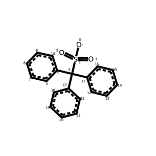 [O]S(=O)(=O)C(c1ccccc1)(c1ccccc1)c1ccccc1